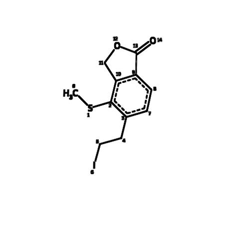 CSc1c(CCI)ccc2c1COC2=O